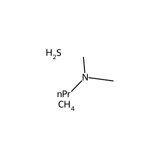 C.CCCN(C)C.S